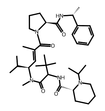 C/C(=C\[C@H](C(C)C)N(C)C(=O)C(NC(=O)[C@H]1CCCCN1C(C)C)C(C)(C)C)C(=O)N1CCC[C@H]1C(=O)N[C@H](C)c1ccccc1